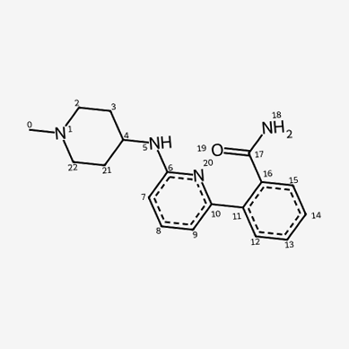 CN1CCC(Nc2cccc(-c3ccccc3C(N)=O)n2)CC1